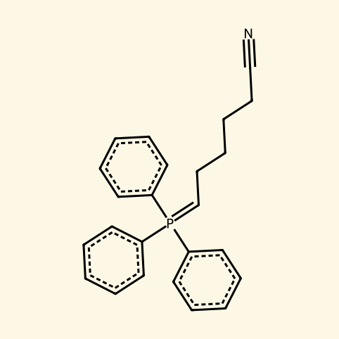 N#CCCCCC=P(c1ccccc1)(c1ccccc1)c1ccccc1